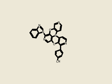 N#Cc1ccc(-c2nccc3c2Oc2cnc(-n4cnc5ccccc54)c4c2B3c2ccncc2O4)cc1